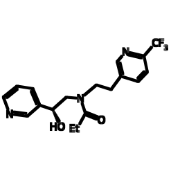 CCC(=O)N(CCc1ccc(C(F)(F)F)nc1)C[C@@H](O)c1cccnc1